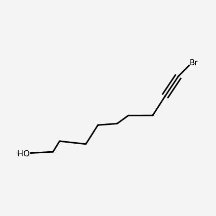 OCCCCCCCC#CBr